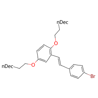 CCCCCCCCCCCCOc1ccc(OCCCCCCCCCCCC)c(/C=C/c2ccc(Br)cc2)c1